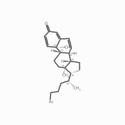 CC(=O)CCC[C@@H](C)[C@H]1CC[C@H]2[C@@H]3C=CC4=CC(=O)C=C[C@]4(C)[C@H]3CC[C@]12C